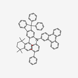 CC1(C)CCC(C)(C)c2c(-c3cc4c(cc3N(c3ccc(-c5ccccc5)cc3)c3ccc5c6ccccc6c6ccccc6c5c3)C(c3ccccc3)(c3ccccc3)c3ccccc3-4)cccc21